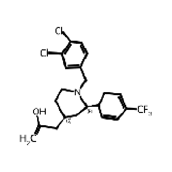 C=C(O)C[C@H]1CCN(Cc2ccc(Cl)c(Cl)c2)[C@@H](C2C=CC(C(F)(F)F)=CC2)C1